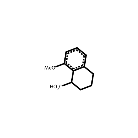 COc1cccc2c1C(C(=O)O)CCC2